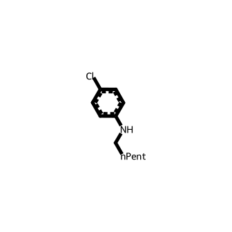 [CH2]CCCCCNc1ccc(Cl)cc1